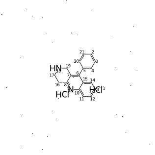 Cl.Cl.c1ccc(-c2c3c(nc4ccccc24)CCNC3)cc1